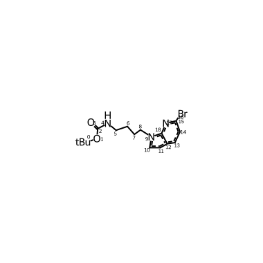 CC(C)(C)OC(=O)NCCCCn1ccc2ccc(Br)nc21